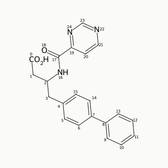 O=C(O)CC(Cc1ccc(-c2ccccc2)cc1)NC(=O)c1ccncn1